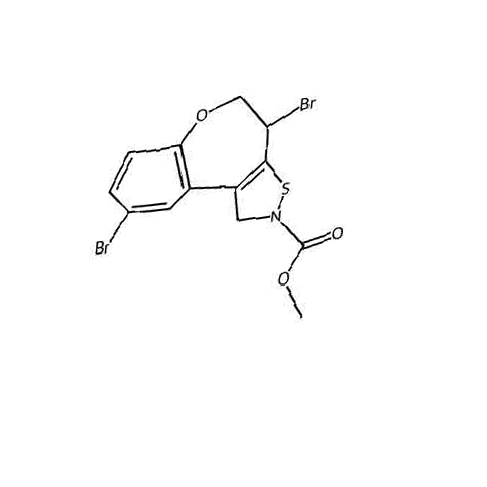 COC(=O)N1CC2=C(S1)C(Br)COc1ccc(Br)cc12